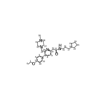 CCOc1ccc(-c2ccc(CC(=O)NCCCC3CCCC3)nc2CN2CCN(C)CC2)cc1